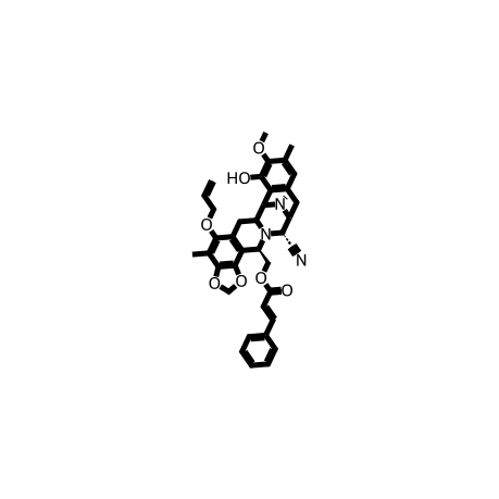 C=CCOc1c(C)c2c(c3c1CC1C4c5c(cc(C)c(OC)c5O)CC([C@H](C#N)N1[C@H]3COC(=O)/C=C/c1ccccc1)N4C)OCO2